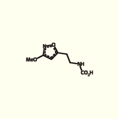 COc1cc(CCNC(=O)O)on1